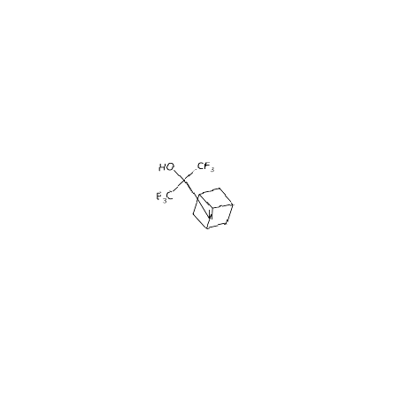 OC(C1=C2C3CC(C1)CC2C3)(C(F)(F)F)C(F)(F)F